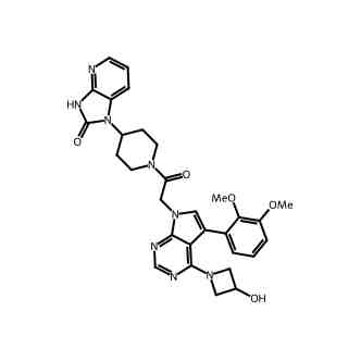 COc1cccc(-c2cn(CC(=O)N3CCC(n4c(=O)[nH]c5ncccc54)CC3)c3ncnc(N4CC(O)C4)c23)c1OC